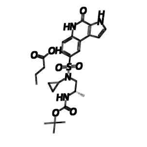 CCCC(=O)O.C[C@@H](CN(C1CC1)S(=O)(=O)c1ccc2[nH]c(=O)c3[nH]ccc3c2c1)NC(=O)OC(C)(C)C